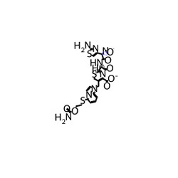 CO/N=C(\C(=O)N[C@@H]1C(=O)N2C(C(=O)[O-])=C(Cn3cc[n+]4c(SCCOC(N)=O)cccc34)CS[C@@H]12)c1csc(N)n1